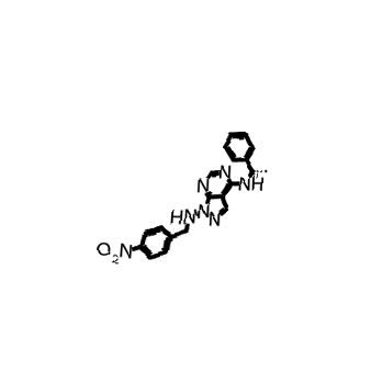 C[C@H](Nc1ncnc2c1cnn2NCc1ccc([N+](=O)[O-])cc1)c1ccccc1